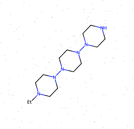 CCN1CCN(N2CCN(N3CCNCC3)CC2)CC1